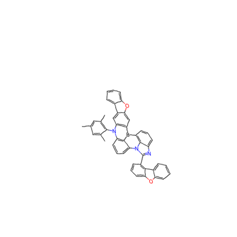 Cc1cc(C)c(N2c3cc4c(cc3B3c5c2cccc5-n2c(-c5cccc6oc7ccccc7c56)nc5cccc3c52)oc2ccccc24)c(C)c1